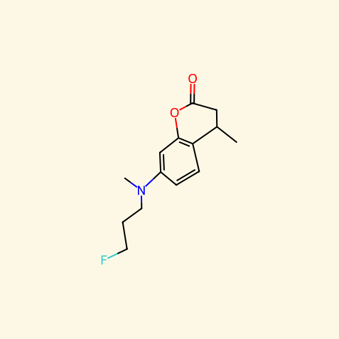 CC1CC(=O)Oc2cc(N(C)CCCF)ccc21